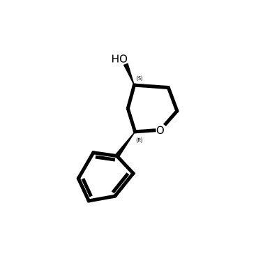 O[C@H]1CCO[C@@H](c2ccccc2)C1